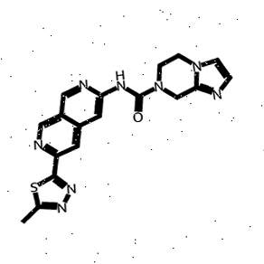 Cc1nnc(-c2cc3cc(NC(=O)N4CCn5ccnc5C4)ncc3cn2)s1